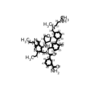 CCc1nc2c(cnn2CC)c(NC2CCOCC2)c1CN(Cc1ccc(F)c(-c2cccc(CN(C)CCNC)c2)c1)C(=O)c1cccc(C(N)=O)c1